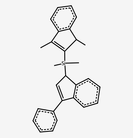 CC1=C([Si](C)(C)C2C=C(c3ccccc3)c3ccccc32)C(C)c2ccccc21